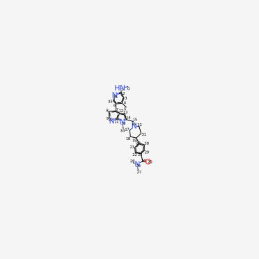 CNc1cc(C)c(-c2ccnc3c2cc(CN2CCC(c4ccc(C(=O)N(C)C)cc4)CC2)n3C)cn1